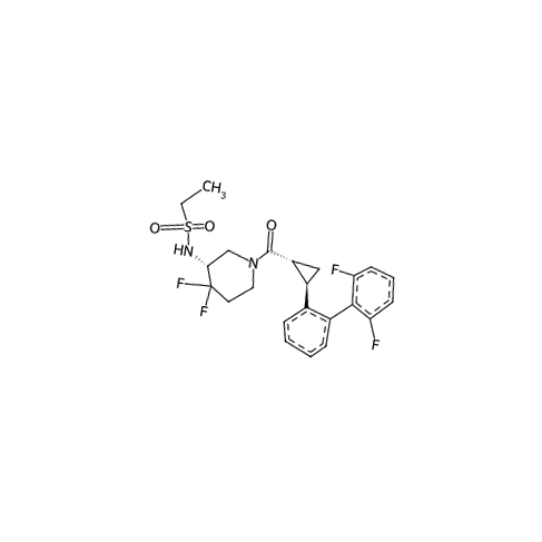 CCS(=O)(=O)N[C@@H]1CN(C(=O)[C@@H]2C[C@H]2c2ccccc2-c2c(F)cccc2F)CCC1(F)F